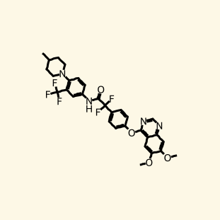 COc1cc2ncnc(Oc3ccc(C(F)(F)C(=O)Nc4ccc(N5CCC(C)CC5)c(C(F)(F)F)c4)cc3)c2cc1OC